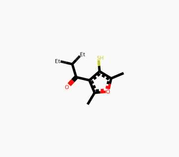 CCC(CC)C(=O)c1c(C)oc(C)c1S